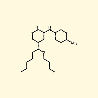 CCCCCC(OCCCC)C1C[CH]NC(NC2CCC(N)CC2)C1